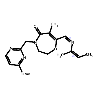 C/C=C(C)\N=C/C1=C(C)C(=O)N(Cc2nccc(OC)n2)CCO1